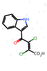 O=C(O)C(Cl)=C(Cl)C(=O)c1c[nH]c2ccccc12